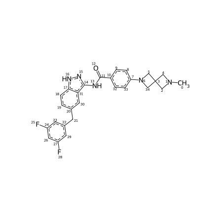 CN1CC2(C1)CN(c1ccc(C(=O)Nc3n[nH]c4ccc(Cc5cc(F)cc(F)c5)cc34)cc1)C2